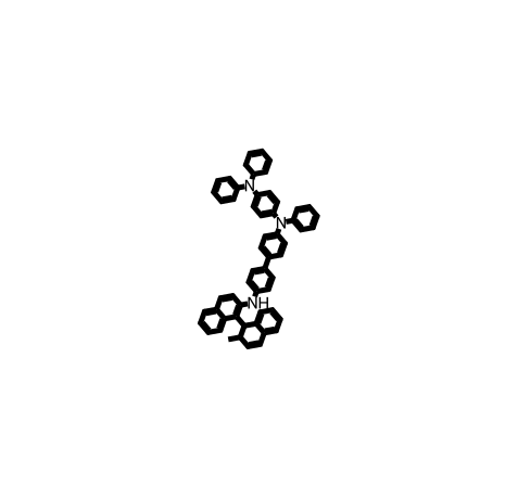 CC1C=Cc2ccccc2C1c1c(Nc2ccc(-c3ccc(N(c4ccccc4)c4ccc(N(c5ccccc5)C5C=CC=CC5)cc4)cc3)cc2)ccc2ccccc12